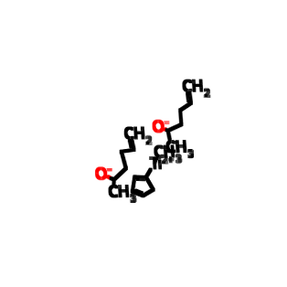 C=CCCC(C)[O-].C=CCCC(C)[O-].[CH3][Ti+2][C]1=CC=CC1